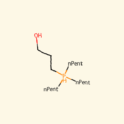 CCCCC[PH](CCCO)(CCCCC)CCCCC